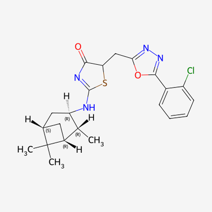 C[C@@H]1[C@H]2C[C@@H](C[C@H]1NC1=NC(=O)C(Cc3nnc(-c4ccccc4Cl)o3)S1)C2(C)C